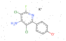 Nc1c(Cl)c(F)nc(-c2ccc([O-])cc2)c1Cl.[K+]